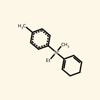 CC[N+](C)(C1=CC[CH]C=C1)c1ccc(C)cc1